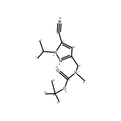 CC(C)n1nc(CN(C)C(=O)OC(C)(C)C)cc1C#N